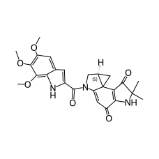 COc1cc2cc(C(=O)N3C[C@H]4CC45C3=CC(=O)C3=C5C(=O)C(C)(C)N3)[nH]c2c(OC)c1OC